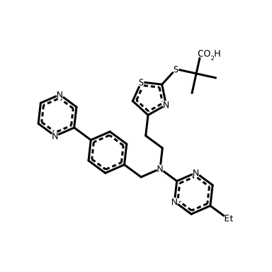 CCc1cnc(N(CCc2csc(SC(C)(C)C(=O)O)n2)Cc2ccc(-c3cnccn3)cc2)nc1